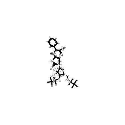 CC(C)(C)[Si](C)(C)OC[C@H]1O[C@@H](n2ccc(NC(C(=O)O)c3ccccc3)nc2=O)[C@@](F)(Br)[C@@H]1O[Si](C)(C)C(C)(C)C